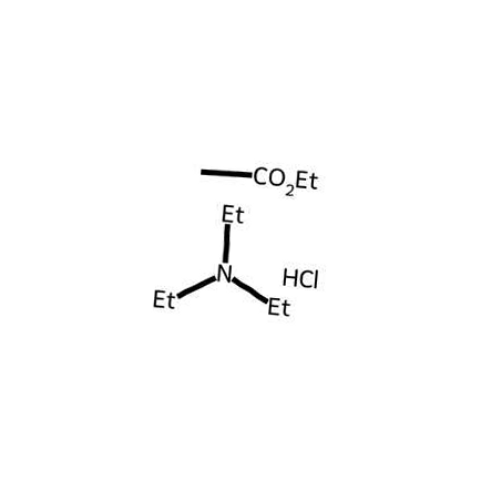 CCN(CC)CC.CCOC(C)=O.Cl